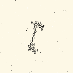 CC1(C)CN(Cc2ccc(OCCOCCOCCOCCNc3cccc4c3C(=O)N(C3CCC(=O)NC3=O)C4=O)cc2)C(=O)C1Oc1ccc(C#N)c(C(F)(F)F)c1